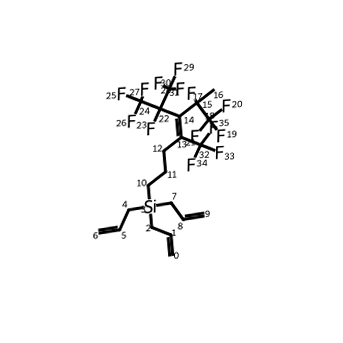 C=CC[Si](CC=C)(CC=C)CCC/C(=C(/C(C)(F)C(F)(F)F)C(F)(C(F)(F)F)C(F)(F)F)C(F)(F)F